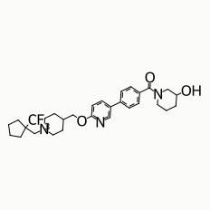 O=C(c1ccc(-c2ccc(OCC3CCN(CC4(C(F)(F)F)CCCC4)CC3)nc2)cc1)N1CCCC(O)C1